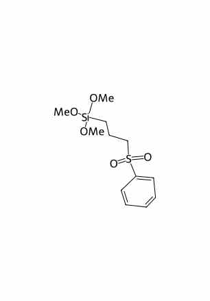 CO[Si](CCCS(=O)(=O)c1ccccc1)(OC)OC